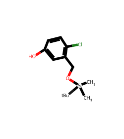 CC(C)(C)[Si](C)(C)OCc1cc(O)ccc1Cl